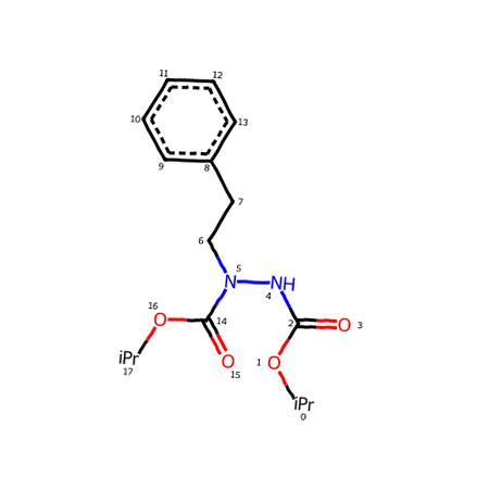 CC(C)OC(=O)NN(CCc1ccccc1)C(=O)OC(C)C